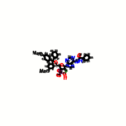 COc1ccc(C(OC[C@H]2O[C@@H](n3cnc4c(NC(=O)c5ccccc5)ncnc43)[C@H](F)[C@@H]2O[PH](=O)O)(c2ccccc2)c2ccc(OC)cc2)cc1